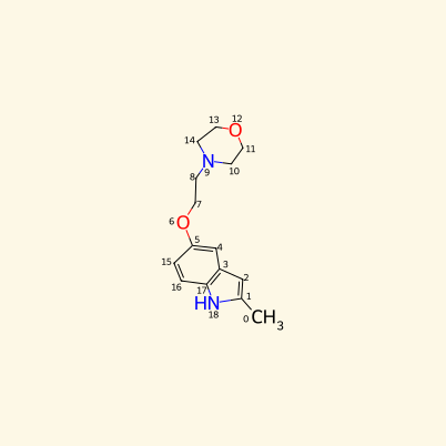 Cc1cc2cc(OCCN3CCOCC3)ccc2[nH]1